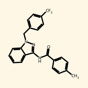 Cc1ccc(C(=O)Nc2nn(Cc3ccc(C(F)(F)F)cc3)c3ccccc23)cc1